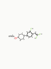 CCCCCCOC1CCC(c2ccc(C=C(F)F)c(F)c2)CC1